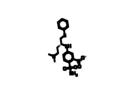 CN(C)CC[C@H](CSc1ccccc1)Nc1ccc(S(N)(=O)=O)c([N+](=O)[O-])c1